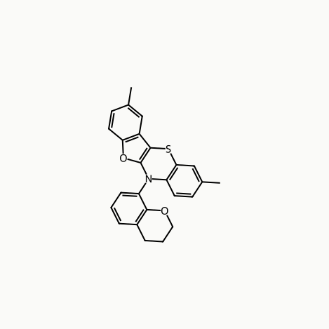 Cc1ccc2c(c1)Sc1c(oc3ccc(C)cc13)N2c1cccc2c1OCCC2